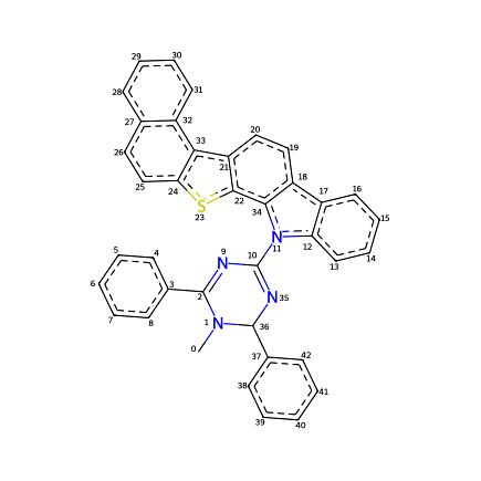 CN1C(c2ccccc2)=NC(n2c3ccccc3c3ccc4c(sc5ccc6ccccc6c54)c32)=NC1c1ccccc1